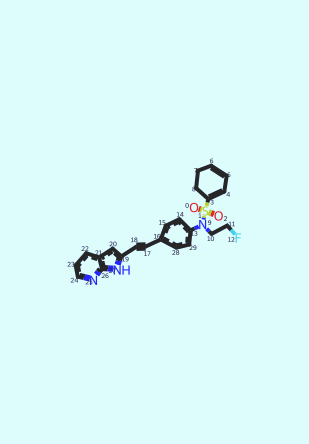 O=S(=O)(C1=CC=CCC1)N(CCF)c1ccc(C#Cc2cc3cccnc3[nH]2)cc1